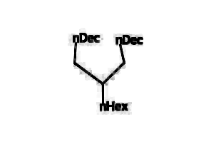 [CH2]CCCCCC(CCCCCCCCCCC)CCCCCCCCCCC